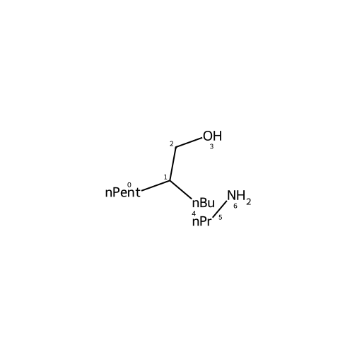 CCCCCC(CO)CCCC.CCCN